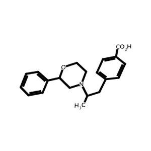 CC(Cc1ccc(C(=O)O)cc1)N1CCOC(c2ccccc2)C1